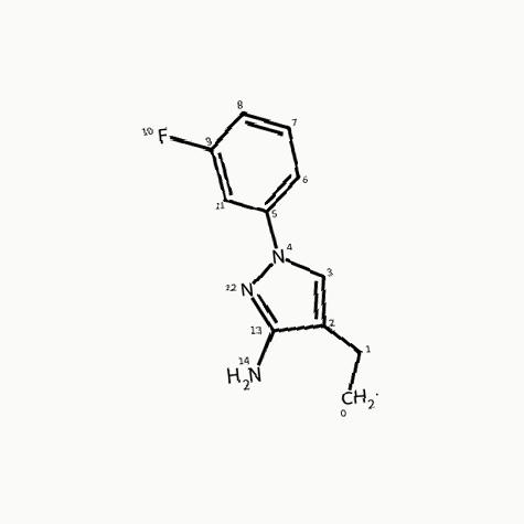 [CH2]Cc1cn(-c2cccc(F)c2)nc1N